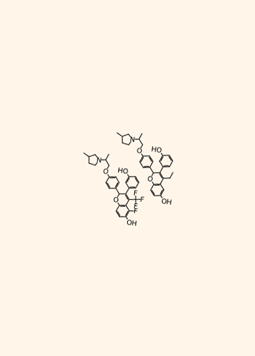 CC1CCN(C(C)COc2ccc(C3Oc4ccc(O)c(F)c4C(C(F)(F)F)=C3c3cccc(O)c3)cc2)C1.CCC1=C(c2cccc(O)c2)C(c2ccc(OCC(C)N3CCC(C)C3)cc2)Oc2ccc(O)cc21